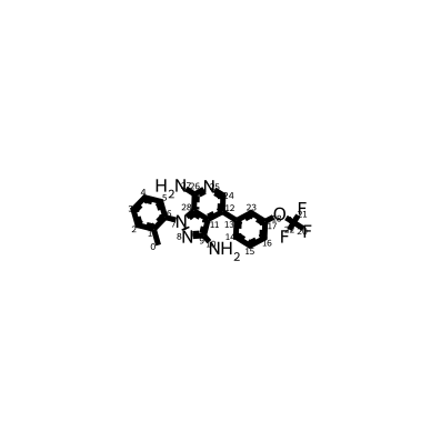 Cc1ccccc1-n1nc(N)c2c(-c3cccc(OC(F)(F)F)c3)cnc(N)c21